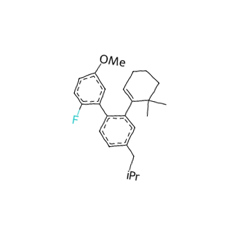 COc1ccc(F)c(-c2ccc(CC(C)C)cc2C2=CCCCC2(C)C)c1